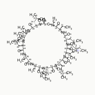 C/C=C/C[C@@H](C)C[C@@H]1C(=O)N[C@H](CC)C(=O)N(C)CC(=O)N(C)[C@@H](CC(C)C)C(=O)N[C@H](C(C)C)C(=O)N(C)[C@H](CC(C)C)C(=O)N[C@H](C)C(=O)N[C@@H](C)C(=O)N(C)[C@@H](CC(C)C)C(=O)N(C)[C@H](CCC(C)C)C(=O)N(C)[C@H](C(C)C)C(=O)N1C